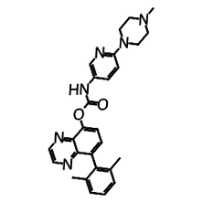 Cc1cccc(C)c1-c1ccc(OC(=O)Nc2ccc(N3CCN(C)CC3)nc2)c2nccnc12